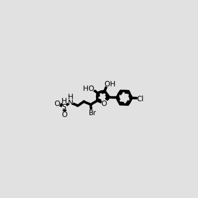 O=[SH](=O)NCCC(Br)c1oc(-c2ccc(Cl)cc2)c(O)c1O